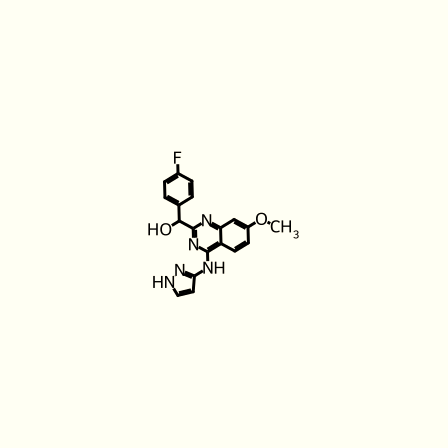 COc1ccc2c(Nc3cc[nH]n3)nc(C(O)c3ccc(F)cc3)nc2c1